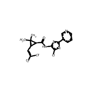 CC1(C)C(C=C(Cl)Cl)C1C(=O)Nc1sc(-c2cccnc2)nc1Cl